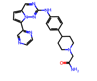 NC(=O)CN1CCC(c2ccc(Nc3ncc4ccc(-c5cnccn5)n4n3)cc2)CC1